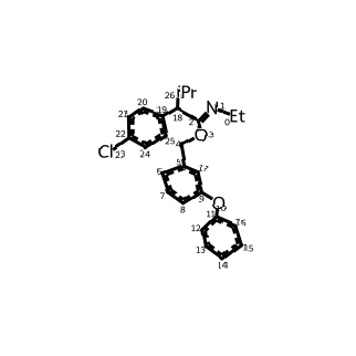 CC/N=C(\OCc1cccc(Oc2ccccc2)c1)C(c1ccc(Cl)cc1)C(C)C